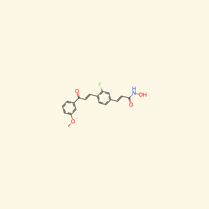 COc1cccc(C(=O)/C=C/c2ccc(/C=C/C(=O)NO)cc2F)c1